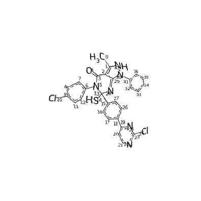 CC1=C2C(=O)N(c3ccc(Cl)cc3)C(S)(c3ccc(-c4ccnc(Cl)n4)cc3)N=C2N(c2ccccc2)N1